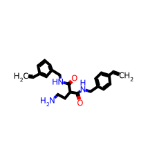 C=Cc1ccc(CNC(=O)C(CCN)C(=O)NCc2cccc(C=C)c2)cc1